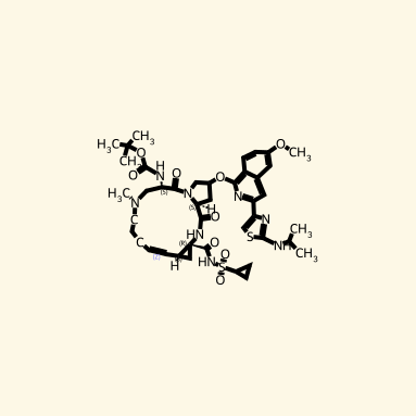 COc1ccc2c(OC3C[C@H]4C(=O)N[C@]5(C(=O)NS(=O)(=O)C6CC6)C[C@H]5/C=C\CCCN(C)C[C@H](NC(=O)OC(C)(C)C)C(=O)N4C3)nc(-c3csc(NC(C)C)n3)cc2c1